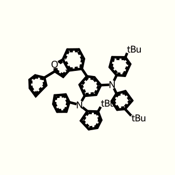 CC(C)(C)c1ccc(N(c2ccc(C(C)(C)C)cc2)c2cc(-c3cccc4oc(-c5ccccc5)cc34)cc(N(c3ccccc3)c3ccccc3C(C)(C)C)c2)cc1